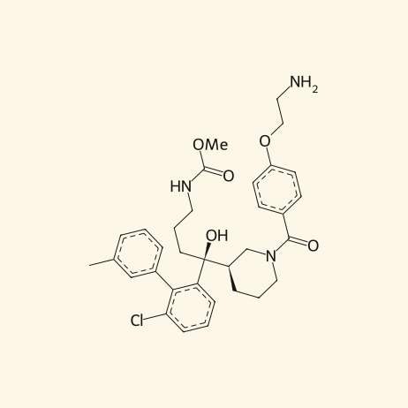 COC(=O)NCCC[C@@](O)(c1cccc(Cl)c1-c1cccc(C)c1)[C@@H]1CCCN(C(=O)c2ccc(OCCN)cc2)C1